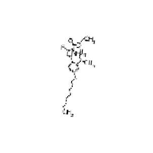 CCCCCCCCCc1ccc(-c2cc(F)c(C(=O)OCC)[nH]2)c(C(C)C)c1